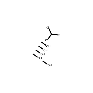 CO.CO.CO.CO.CO.ClC(Cl)Cl